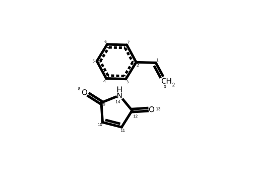 C=Cc1ccccc1.O=C1C=CC(=O)N1